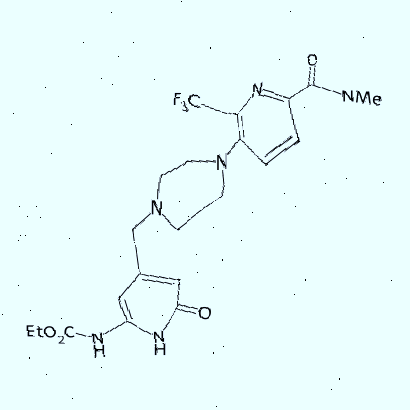 CCOC(=O)Nc1cc(CN2CCN(c3ccc(C(=O)NC)nc3C(F)(F)F)CC2)cc(=O)[nH]1